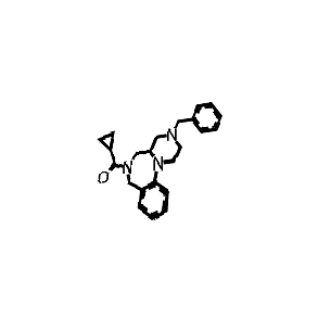 O=C(C1CC1)N1Cc2ccccc2N2CCN(Cc3ccccc3)CC2C1